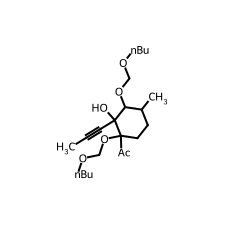 CC#CC1(O)C(OCOCCCC)C(C)CCC1(OCOCCCC)C(C)=O